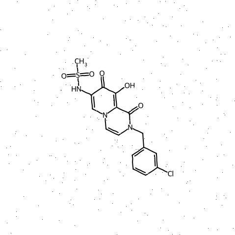 CS(=O)(=O)Nc1cn2ccn(Cc3cccc(Cl)c3)c(=O)c2c(O)c1=O